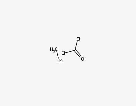 CC(C)C.O=C(Cl)Cl